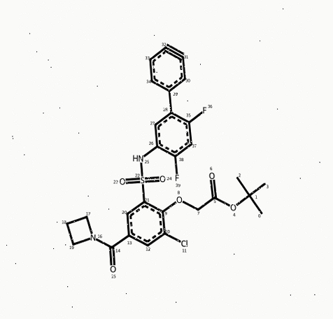 CC(C)(C)OC(=O)COc1c(Cl)cc(C(=O)N2CCC2)cc1S(=O)(=O)Nc1cc(-c2cc#ccc2)c(F)cc1F